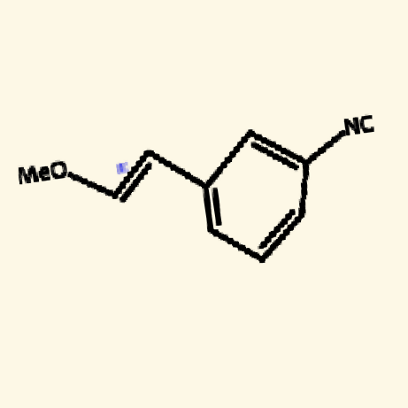 [C-]#[N+]c1cccc(/C=C/OC)c1